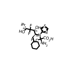 CC(C)[C@@H](O)C(F)(F)[C@H](O)[C@H](CC1CCCCC1)N(c1cscn1)C(C)(N)C(=O)O